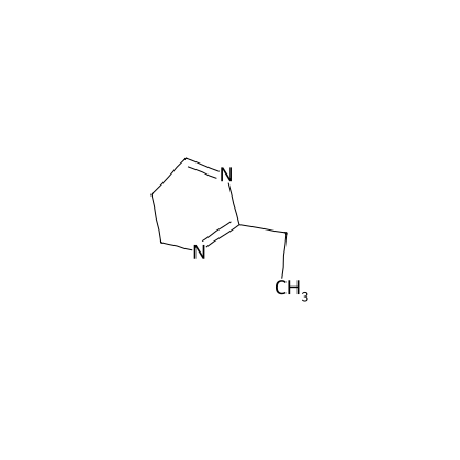 CCC1=NCCC=N1